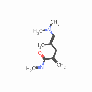 C=NC(=O)C(=C)C/C(C)=C/N(C)C